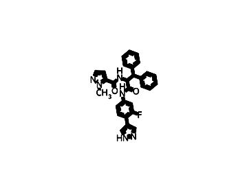 Cn1nccc1C(=O)NC(C(=O)Nc1ccc(-c2cn[nH]c2)c(F)c1)C(c1ccccc1)c1ccccc1